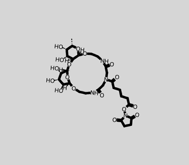 C[C@@H]1O[C@H]2OCCNC(=O)CN(C(=O)CCCCC(=O)ON3C(=O)CCC3=O)CC(=O)NCCO[C@@H]3O[C@@H](O[C@H]2[C@H](O)[C@@H]1O)[C@@H](O)[C@@H](O)[C@@H]3O